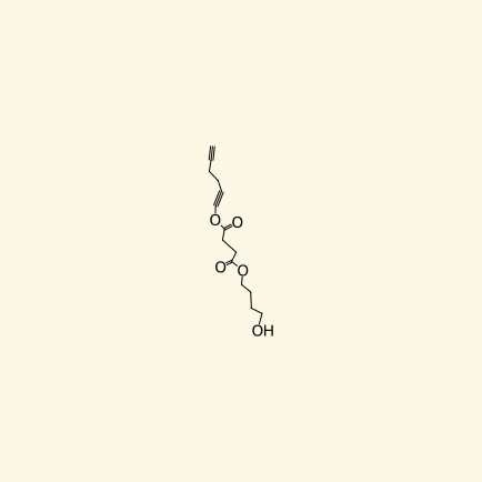 C#CCCC#COC(=O)CCC(=O)OCCCCO